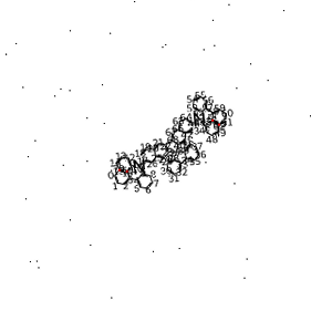 c1ccc(-c2ccccc2N(c2ccccc2)c2ccc3cc4c(cc3c2)C2(c3ccccc3-c3ccccc32)c2cc3cc(N(c5ccccc5)c5ccccc5-c5ccccc5)ccc3cc2-4)cc1